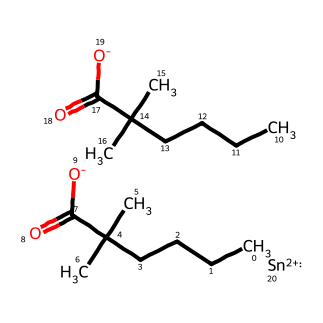 CCCCC(C)(C)C(=O)[O-].CCCCC(C)(C)C(=O)[O-].[Sn+2]